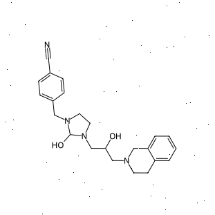 N#Cc1ccc(CN2CCN(CC(O)CN3CCc4ccccc4C3)C2O)cc1